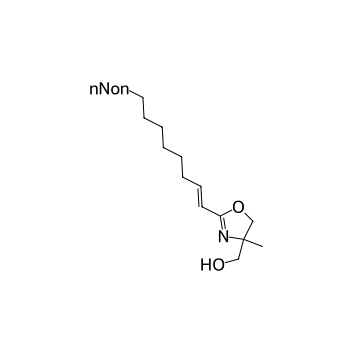 CCCCCCCCCCCCCCCC=CC1=NC(C)(CO)CO1